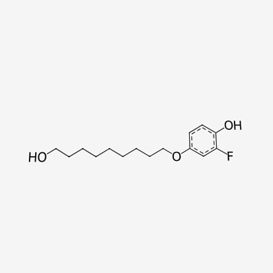 OCCCCCCCCCOc1ccc(O)c(F)c1